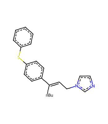 CCCCC(=CCn1ccnc1)c1ccc(Sc2ccccc2)cc1